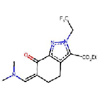 CCOC(=O)c1c2c(nn1CC(F)(F)F)C(=O)/C(=C\N(C)C)CC2